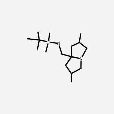 CC1CN2CC(C)CC2(CO[Si](C)(C)C(C)(C)C)C1